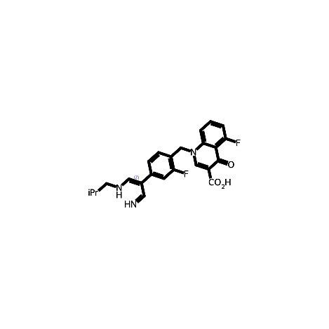 CC(C)CN/C=C(\C=N)c1ccc(Cn2cc(C(=O)O)c(=O)c3c(F)cccc32)c(F)c1